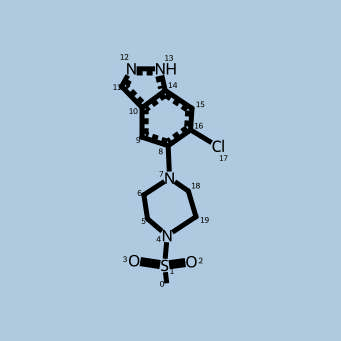 CS(=O)(=O)N1CCN(c2cc3cn[nH]c3cc2Cl)CC1